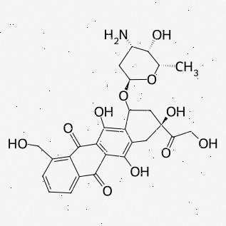 C[C@@H]1O[C@@H](OC2C[C@](O)(C(=O)CO)Cc3c(O)c4c(c(O)c32)C(=O)c2c(CO)cccc2C4=O)C[C@H](N)[C@@H]1O